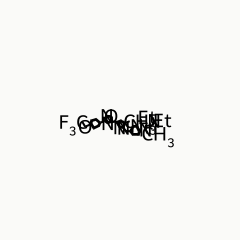 CCN(CC)CCN(C)c1ccc(Cn2nc(-c3nc(-c4ccc(OC(F)(F)F)cc4)no3)cc2C)cn1